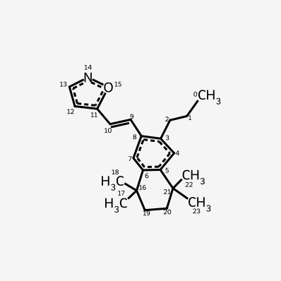 CCCc1cc2c(cc1C=Cc1ccno1)C(C)(C)CCC2(C)C